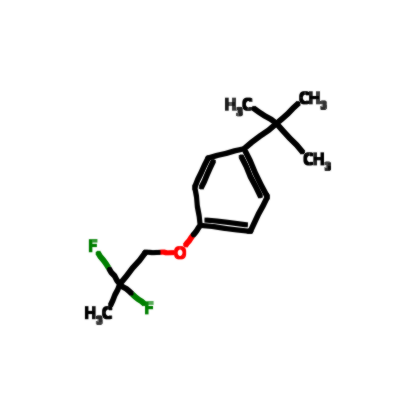 CC(F)(F)COc1ccc(C(C)(C)C)cc1